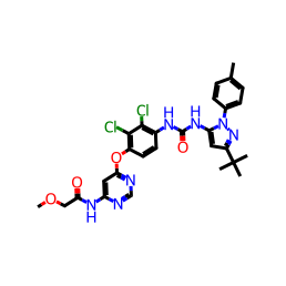 COCC(=O)Nc1cc(Oc2ccc(NC(=O)Nc3cc(C(C)(C)C)nn3-c3ccc(C)cc3)c(Cl)c2Cl)ncn1